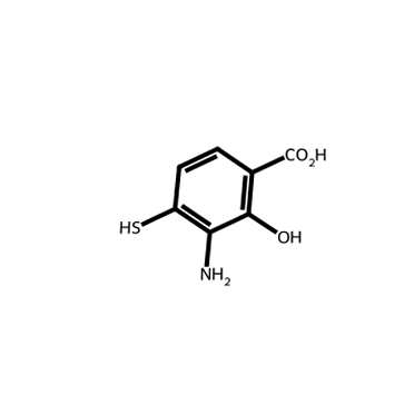 Nc1c(S)ccc(C(=O)O)c1O